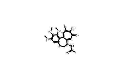 COc1cc2c(c(OC)c1OC)-c1cc(Br)c(O)c(=O)cc1[C@@H](NC(C)=O)CC2